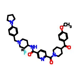 COc1ccc(C(=O)C2CCN(C(=O)c3ccc(C(=O)NC4CCN(Cc5ccc(N6CCCC6)cc5)C[C@H]4F)cn3)CC2)cc1